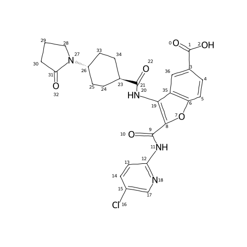 O=C(O)c1ccc2oc(C(=O)Nc3ccc(Cl)cn3)c(NC(=O)[C@H]3CC[C@H](N4CCCC4=O)CC3)c2c1